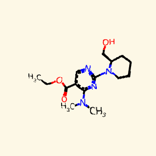 CCOC(=O)c1cnc(N2CCCCC2CO)nc1N(C)C